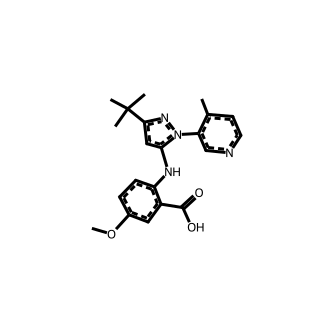 COc1ccc(Nc2cc(C(C)(C)C)nn2-c2cnccc2C)c(C(=O)O)c1